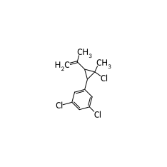 C=C(C)C1C(c2cc(Cl)cc(Cl)c2)C1(C)Cl